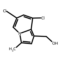 Cc1cc(CO)c2c(Cl)cc(Cl)cn12